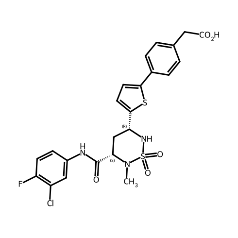 CN1[C@H](C(=O)Nc2ccc(F)c(Cl)c2)C[C@H](c2ccc(-c3ccc(CC(=O)O)cc3)s2)NS1(=O)=O